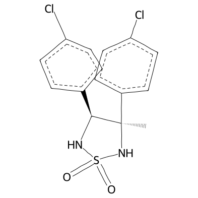 C[C@]1(c2ccc(Cl)cc2)NS(=O)(=O)N[C@H]1c1ccc(Cl)cc1